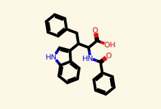 O=C(NC(C(=O)O)C(Cc1ccccc1)c1c[nH]c2ccccc12)c1ccccc1